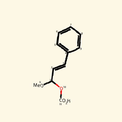 COC(C=Cc1ccccc1)OC(=O)O